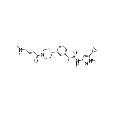 CC(C(=O)Nc1cc(C2CC2)[nH]n1)c1cccc(C2=CCN(C(=O)/C=C/CN(C)C)CC2)c1